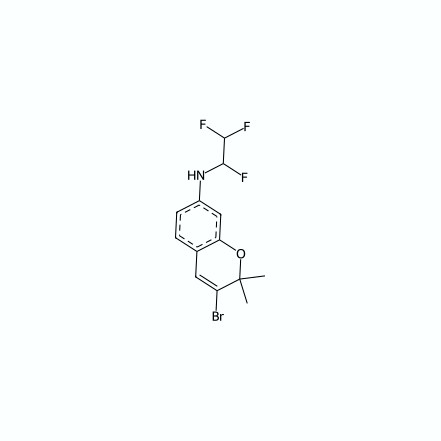 CC1(C)Oc2cc(NC(F)C(F)F)ccc2C=C1Br